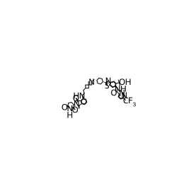 C=C1c2cccc(NCCC3CC4(C3)CN(C[C@H]3CC[C@H](c5nc6cc(C(C)(C)O)c(NC(=O)c7ccc(C(F)(F)F)nn7)cc6s5)CC3)C4)c2C(=O)N1C1CCC(=O)NC1=O